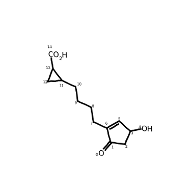 O=C1CC(O)C=C1CCCCC1CC1C(=O)O